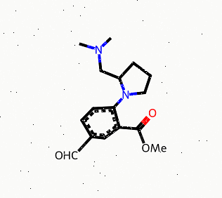 COC(=O)c1cc(C=O)ccc1N1CCCC1CN(C)C